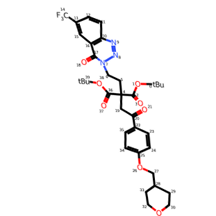 CC(C)(C)OC(=O)C(CCn1nnc2ccc(C(F)(F)F)cc2c1=O)(CC(=O)c1ccc(OCC2CCOCC2)cc1)C(=O)OC(C)(C)C